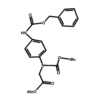 COC(=O)CN(C(=O)OC(C)(C)C)c1ccc(NC(=O)OCc2ccccc2)cc1